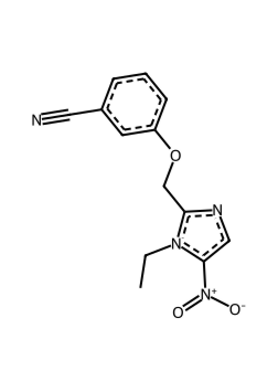 CCn1c([N+](=O)[O-])cnc1COc1cccc(C#N)c1